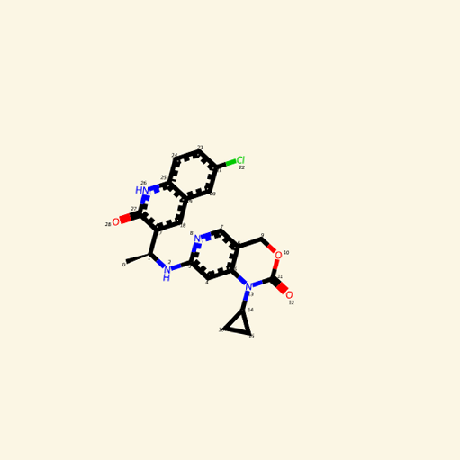 C[C@H](Nc1cc2c(cn1)COC(=O)N2C1CC1)c1cc2cc(Cl)ccc2[nH]c1=O